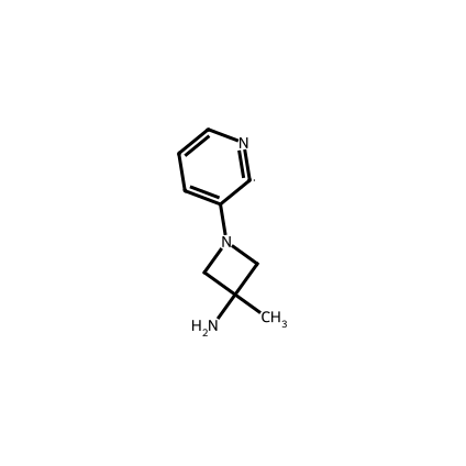 CC1(N)CN(c2[c]nccc2)C1